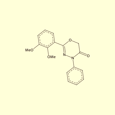 COc1cccc(C2=NN(c3ccccc3)C(=O)CO2)c1OC